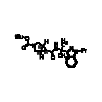 CC(C)n1nc(C(C)(C)NC(=O)[C@H]2[C@@H]3CN(C(=O)OC(C)(C)C)C[C@@H]32)c2ccccc21